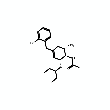 CCC(CC)O[C@@H]1C=C(Cc2ccccc2O)C[C@H](N)[C@H]1NC(C)=O